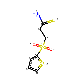 NC(=S)CCS(=O)(=O)c1cccs1